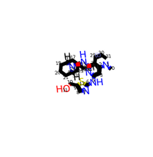 C=Nc1cc(Nc2ncc(CO)s2)nc(N[C@@H]2C[C@H]3CCC[C@@H](C2)N3CCC#N)c1/C=C\C